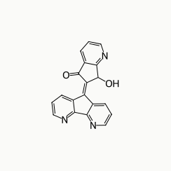 O=C1C(=C2c3cccnc3-c3ncccc32)C(O)c2ncccc21